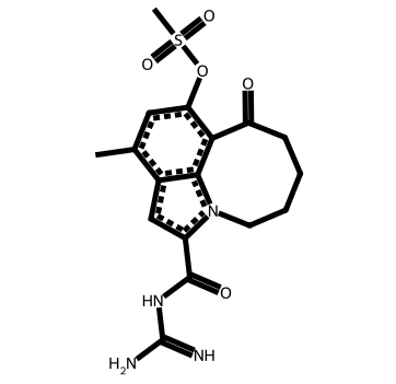 Cc1cc(OS(C)(=O)=O)c2c3c1cc(C(=O)NC(=N)N)n3CCCCC2=O